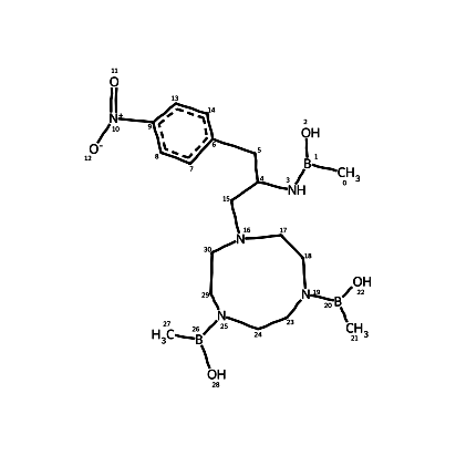 CB(O)NC(Cc1ccc([N+](=O)[O-])cc1)CN1CCN(B(C)O)CCN(B(C)O)CC1